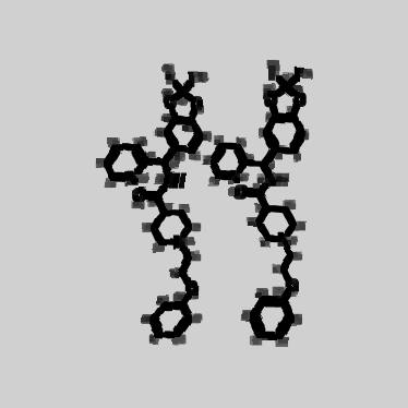 O=C(NC(c1ccc2c(c1)OC(F)(F)O2)c1ccccn1)C1CCN(CCOc2ccccc2)CC1.O=C(NC(c1ccc2c(c1)OC(F)(F)O2)c1ccccn1)C1CCN(CCOc2ccccc2)CC1